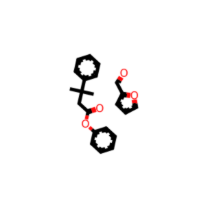 CC(C)(CC(=O)Oc1ccccc1)c1ccccc1.O=Cc1ccco1